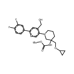 CC(C)(C)OC(=O)NC1(COC2CC2)CCCN(c2cnc(-c3ccc(F)c(F)c3)cc2CO)C1